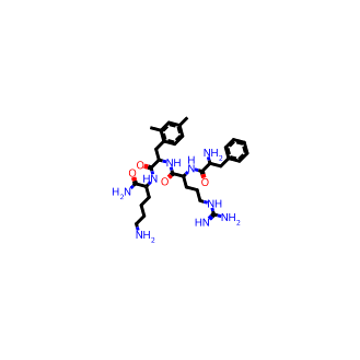 Cc1ccc(CC(NC(=O)C(CCCNC(=N)N)NC(=O)C(N)Cc2ccccc2)C(=O)NC(CCCCN)C(N)=O)c(C)c1